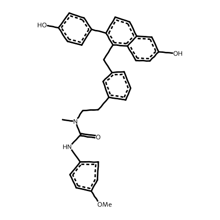 COc1ccc(NC(=O)N(C)CCc2cccc(Cc3c(-c4ccc(O)cc4)ccc4cc(O)ccc34)c2)cc1